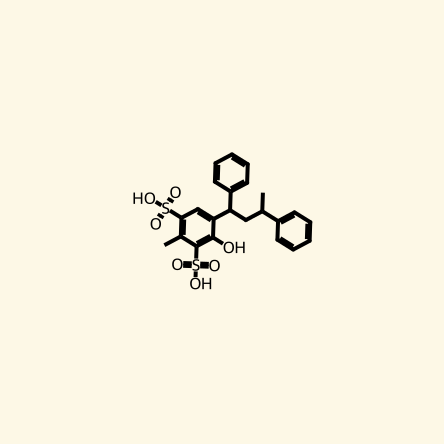 Cc1c(S(=O)(=O)O)cc(C(CC(C)c2ccccc2)c2ccccc2)c(O)c1S(=O)(=O)O